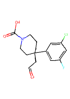 O=CCC1(c2cc(F)cc(Cl)c2)CCN(C(=O)O)CC1